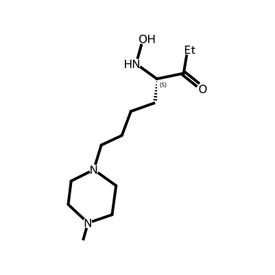 CCC(=O)[C@H](CCCCN1CCN(C)CC1)NO